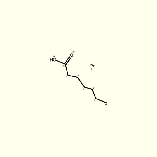 CCCCCCC(=O)O.[Pd]